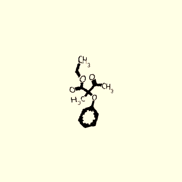 CCOC(=O)C(C)(Oc1ccccc1)C(C)=O